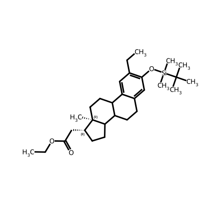 CCOC(=O)C[C@H]1CCC2C3CCc4cc(O[Si](C)(C)C(C)(C)C)c(CC)cc4C3CC[C@@]21C